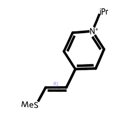 CS/C=C/c1cc[n+](C(C)C)cc1